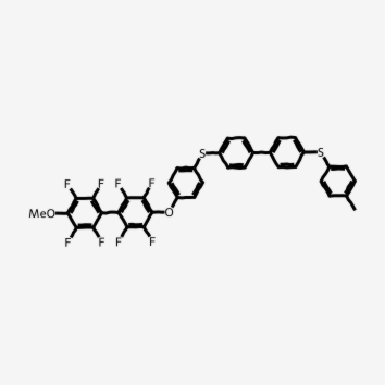 COc1c(F)c(F)c(-c2c(F)c(F)c(Oc3ccc(Sc4ccc(-c5ccc(Sc6ccc(C)cc6)cc5)cc4)cc3)c(F)c2F)c(F)c1F